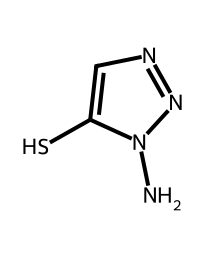 Nn1nncc1S